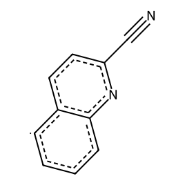 N#Cc1ccc2[c]cccc2n1